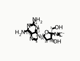 [C-]#[N+][C@]1(CO)O[C@@H](n2cnc3c(N)nc(N)nc32)C[C@H]1O